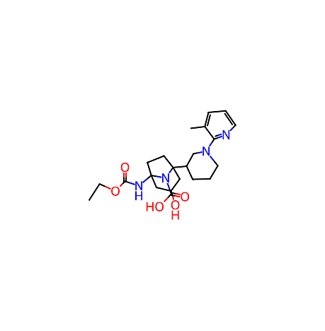 CCOC(=O)NC12CCC(C3CCCN(c4ncccc4C)C3)(CC(O)C1)N2C(=O)O